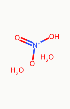 O.O.O=[N+]([O-])O